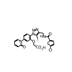 O=C(O)COc1cc(-n2ccccc2=O)ccc1-n1nnc(CNC(=O)c2ccc(Cl)s2)c1I